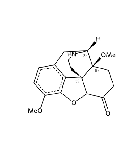 COc1ccc2c3c1OC1C(=O)CC[C@@]4(OC)[C@@H](C2)NCC[C@]314